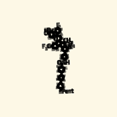 CCCCCC1CCC(c2ccc(-c3ccc(C(=O)Nc4ccc(-c5cc(Br)c6c(c5)-c5c(c7c(c8cc(C(F)(F)F)ccc58)OC(c5ccc(F)cc5)(c5ccc(OCCCC)cc5)C=C7)C6(C)C)cc4)cc3)cc2)CC1